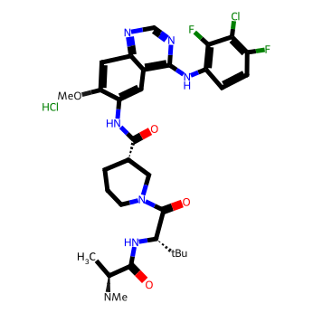 CN[C@@H](C)C(=O)N[C@H](C(=O)N1CCC[C@H](C(=O)Nc2cc3c(Nc4ccc(F)c(Cl)c4F)ncnc3cc2OC)C1)C(C)(C)C.Cl